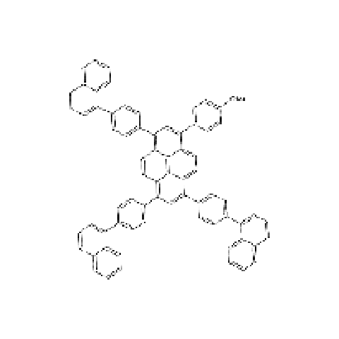 COc1ccc(-c2cc(-c3ccc(-c4cccc5ccccc45)cc3)c3ccc4c(-c5ccc(-c6cccc7ccccc67)cc5)cc(-c5ccc(-c6cccc7ccccc67)cc5)c5ccc2c3c54)cc1